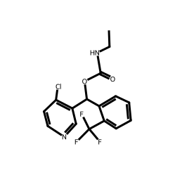 CCNC(=O)OC(c1cnccc1Cl)c1ccccc1C(F)(F)F